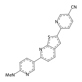 CNc1ccc(-c2ccc3cc(-c4ccc(C#N)cn4)sc3n2)cn1